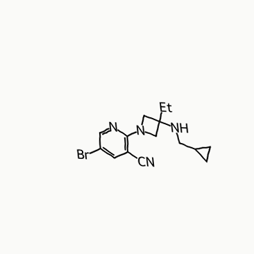 CCC1(NCC2CC2)CN(c2ncc(Br)cc2C#N)C1